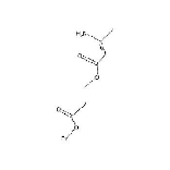 C/C(N)=C/C(=O)OCCC(=O)OC(C)C